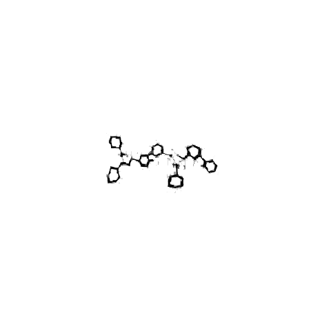 c1ccc(-c2cc(-c3ccc4sc5c(-c6nc(-c7ccccc7)nc(-c7cccc8c7oc7ccccc78)n6)cccc5c4c3)nc(-c3ccccc3)n2)cc1